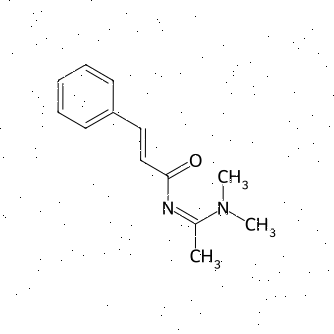 CC(=NC(=O)C=Cc1ccccc1)N(C)C